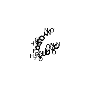 COCc1ncc(-c2ccc(S(=O)(=O)Nc3cc(F)c(C(=O)N[C@@H](Cc4ccc(-n5c(=O)c6ccncc6n(C)c5=O)nc4)C(N)=O)cc3F)cc2)cn1